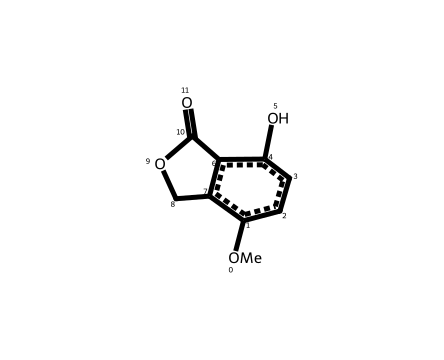 COc1ccc(O)c2c1COC2=O